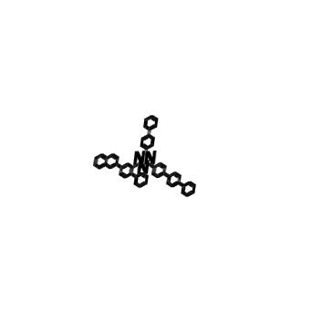 c1ccc(-c2ccc(-c3ccc(-c4nc(-c5ccc(-c6ccccc6)cc5)nc(-c5cc(-c6ccc7ccccc7c6)ccc5-c5ccccc5)n4)cc3)cc2)cc1